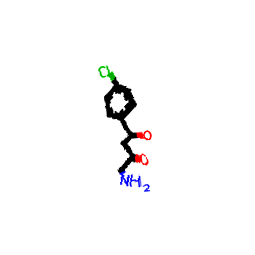 NCC(=O)CC(=O)c1ccc(Cl)cc1